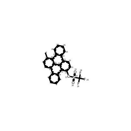 Cc1ccc2c3ccccc3c3c(OS(=O)(=O)C(F)(F)F)ccc4c5ccccc5c1c2c43